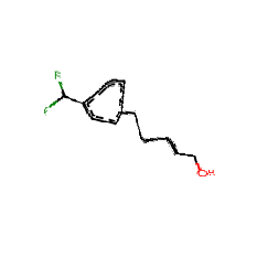 OCCCCCc1ccc(C(F)F)cc1